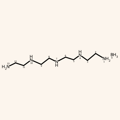 B.NCCNCCNCCNCCN